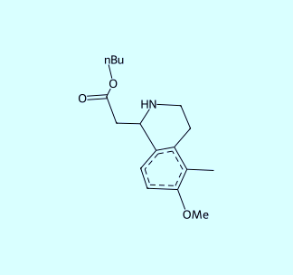 CCCCOC(=O)CC1NCCc2c1ccc(OC)c2C